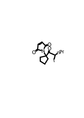 CCCC(I)C(=O)C1(N2C(=O)C=CC2=O)CCCC1